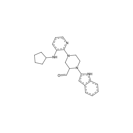 O=CC1CN(c2ncccc2NC2CCCC2)CCN1c1cc2ccccc2[nH]1